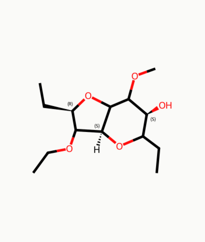 CCOC1[C@@H]2OC(CC)[C@H](O)C(OC)C2O[C@@H]1CC